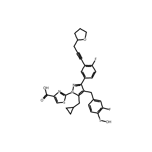 O=C(O)c1csc(-n2nc(-c3ccc(F)c(C#CCC4CCCO4)c3)c(Cc3ccc(SO)c(F)c3)c2CC2CC2)n1